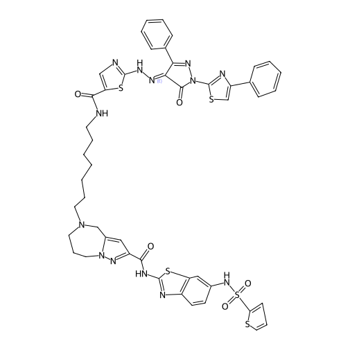 O=C(Nc1nc2ccc(NS(=O)(=O)c3cccs3)cc2s1)c1cc2n(n1)CCCN(CCCCCCCNC(=O)c1cnc(N/N=C3/C(=O)N(c4nc(-c5ccccc5)cs4)N=C3c3ccccc3)s1)C2